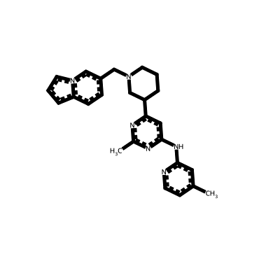 Cc1ccnc(Nc2cc(C3CCCN(Cc4ccc5cccn5c4)C3)nc(C)n2)c1